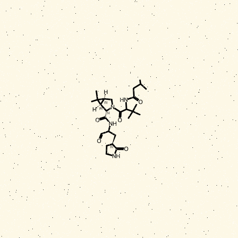 CC(C)CC(=O)NC(C(=O)N1C[C@H]2[C@@H]([C@H]1C(=O)NC(C=O)C[C@@H]1CCNC1=O)C2(C)C)C(C)(C)C